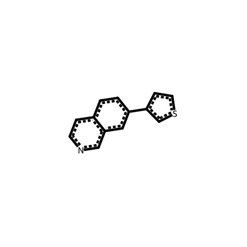 c1cc2ccc(-c3ccsc3)cc2cn1